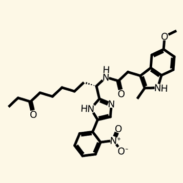 CCC(=O)CCCCC[C@H](NC(=O)Cc1c(C)[nH]c2ccc(OC)cc12)c1ncc(-c2ccccc2[N+](=O)[O-])[nH]1